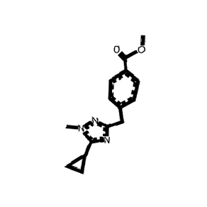 COC(=O)c1ccc(Cc2nc(C3CC3)n(C)n2)cc1